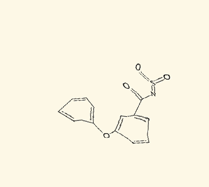 O=C(N=S(=O)=O)c1cccc(Oc2ccccc2)c1